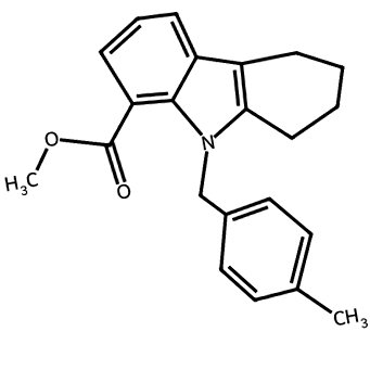 COC(=O)c1cccc2c3c(n(Cc4ccc(C)cc4)c12)CCCC3